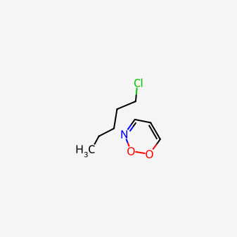 C1=COON=C1.CCCCCCl